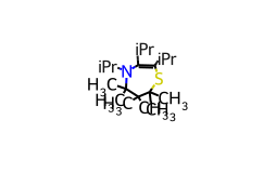 CC(C)C1=C(C(C)C)N(C(C)C)C(C)(C)C(C)(C)C(C)(C)S1